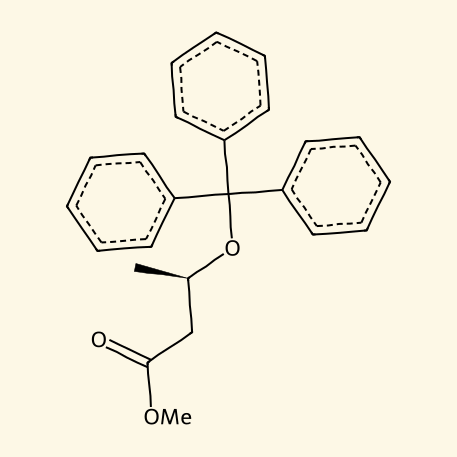 COC(=O)C[C@@H](C)OC(c1ccccc1)(c1ccccc1)c1ccccc1